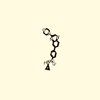 [O-][S+](NC1CC1)c1ccc(-c2ccc3ncc(N4CCOCC4)nc3c2)cc1